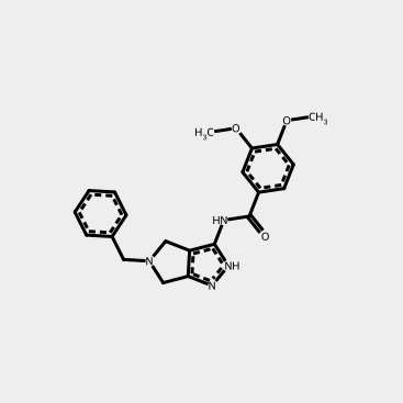 COc1ccc(C(=O)Nc2[nH]nc3c2CN(Cc2ccccc2)C3)cc1OC